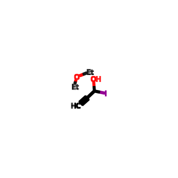 C#CC(O)I.CCOCC